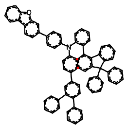 c1ccc(-c2ccc(-c3ccc(N(c4ccc(-c5ccc6c(c5)oc5ccccc56)cc4)c4ccccc4-c4cccc5c4-c4ccccc4C5(c4ccccc4)c4ccccc4)cc3)cc2-c2ccccc2)cc1